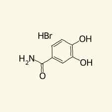 Br.NC(=O)c1ccc(O)c(O)c1